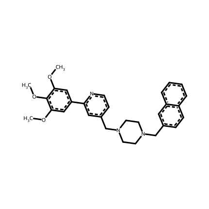 COc1cc(-c2cc(CN3CCN(Cc4ccc5ccccc5c4)CC3)ccn2)cc(OC)c1OC